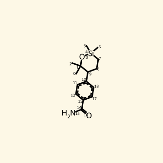 CC1(C)O[Si](C)(C)CCC1c1ccc(C(N)=O)cc1